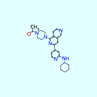 CC(=O)N1CCN(c2nc(-c3ccnc(NC4CCCCC4)c3)cc3cnccc23)CC1